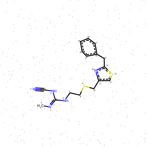 C/N=C(\NC#N)NCCSCc1csc(Cc2ccccc2)n1